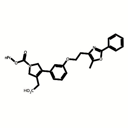 CCCOC(=O)N1CC(CC(=O)O)=C(c2cccc(OCCc3nc(-c4ccccc4)oc3C)c2)C1